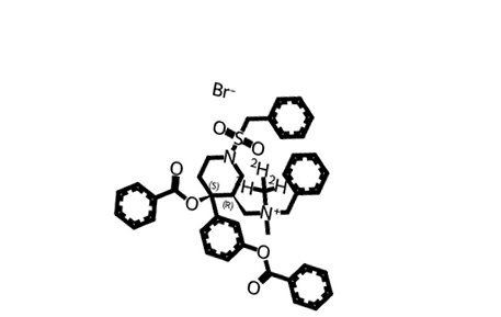 [2H]C([2H])([2H])[N+](C)(Cc1ccccc1)C[C@@H]1CN(S(=O)(=O)Cc2ccccc2)CC[C@@]1(OC(=O)c1ccccc1)c1cccc(OC(=O)c2ccccc2)c1.[Br-]